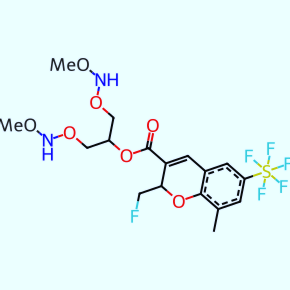 CONOCC(CONOC)OC(=O)C1=Cc2cc(S(F)(F)(F)(F)F)cc(C)c2OC1CF